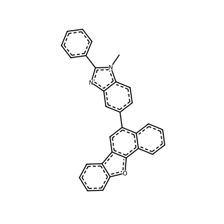 Cn1c(-c2ccccc2)nc2cc(-c3cc4c5ccccc5oc4c4ccccc34)ccc21